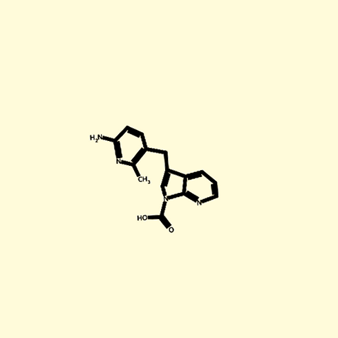 Cc1nc(N)ccc1Cc1cn(C(=O)O)c2ncccc12